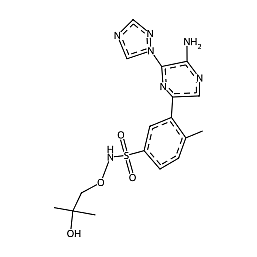 Cc1ccc(S(=O)(=O)NOCC(C)(C)O)cc1-c1cnc(N)c(-n2cncn2)n1